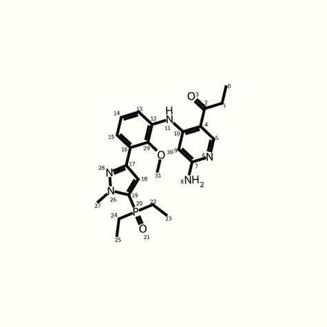 CCC(=O)c1cnc(N)cc1Nc1cccc(-c2cc(P(=O)(CC)CC)n(C)n2)c1OC